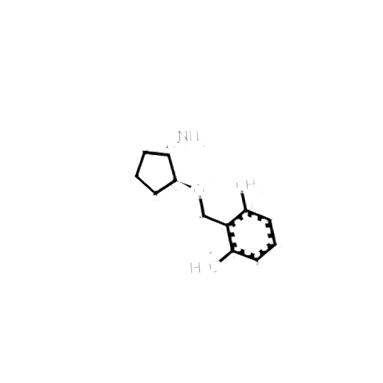 Cc1cccc(C)c1CO[C@H]1CCC[C@@H]1N